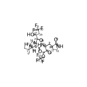 CC1(C)[C@@H]2[C@@H](C(=O)N[C@@H](C[C@@H]3CCNC3=O)C(=O)COC(F)(F)F)N(C(=O)C(O)CC(F)(F)F)C[C@@H]21